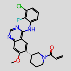 C=CC(=O)N1CCC[C@H](c2cc3c(Nc4cccc(Cl)c4F)ncnc3cc2OC)C1